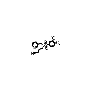 COc1ccc(S(=O)(=O)N(CCCC#N)Cc2cccnc2)cc1OC